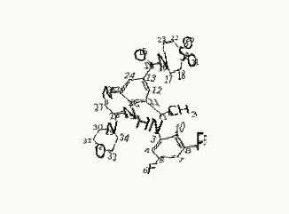 CC(Nc1cc(F)cc(F)c1)c1cc(C(=O)N2CCS(=O)(=O)CC2)cc2ncc(N3CCOCC3)nc12